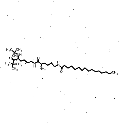 CCCCCCCCCCCCCCCC(=O)NCCCCC(N)C(=O)NCCCCC(NC(C)(C)C)C(=O)C(C)(C)C